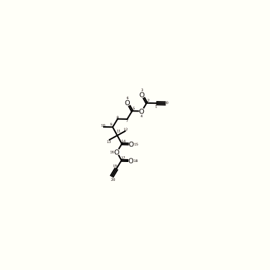 C#CC(=O)OC(=O)CCC(C)C(C)(C)C(=O)OC(=O)C#C